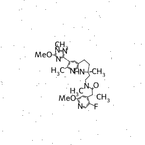 COc1cc([C@@H](C)C(=O)N(C)CC[C@@]2(C)CCc3cc(-c4nc(OC)n(C)n4)c(C)nc3N2)c(F)cn1